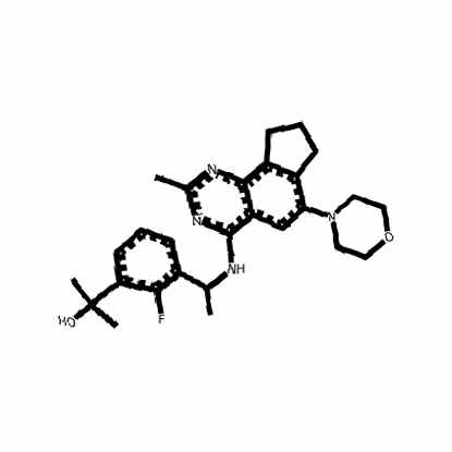 Cc1nc(NC(C)c2cccc(C(C)(C)O)c2F)c2cc(N3CCOCC3)c3c(c2n1)CCC3